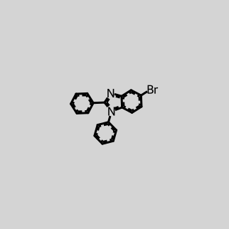 Brc1ccc2c(c1)nc(-c1ccccc1)n2-c1ccccc1